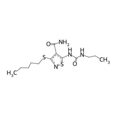 CCCCCSc1nsc(NC(=O)NCCC)c1C(N)=O